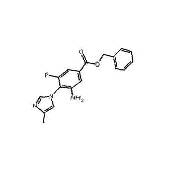 Cc1cn(-c2c(N)cc(C(=O)OCc3ccccc3)cc2F)cn1